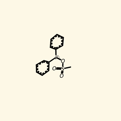 CS(=O)(=O)O[I+](c1ccccc1)c1ccccc1